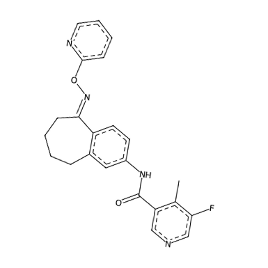 Cc1c(F)cncc1C(=O)Nc1ccc2c(c1)CCCCC2=NOc1ccccn1